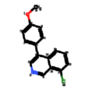 COc1[c]cc(-c2cncc3c(Cl)cccc23)cc1